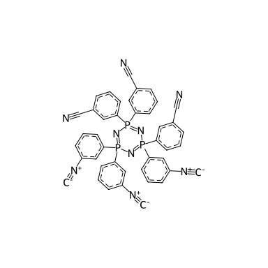 [C-]#[N+]c1cccc(P2(c3cccc(C#N)c3)=NP(c3cccc([N+]#[C-])c3)(c3cccc([N+]#[C-])c3)=NP(c3cccc(C#N)c3)(c3cccc(C#N)c3)=N2)c1